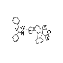 c1ccc(-c2nc(-c3ccccc3)nc(-c3cc4ccc5c(c4o3)-c3ccccc3C53c4ccccc4Oc4ccccc43)n2)cc1